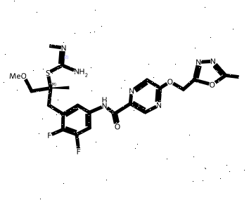 C/N=C(/N)S[C@@](C)(COC)Cc1cc(NC(=O)c2cnc(OCc3nnc(C)o3)cn2)cc(F)c1F